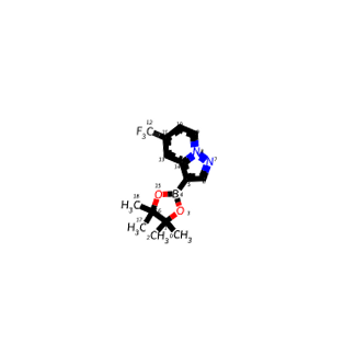 CC1(C)OB(c2cnn3ccc(C(F)(F)F)cc23)OC1(C)C